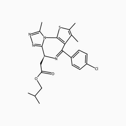 Cc1sc2c(c1C)C(c1ccc(Cl)cc1)=N[C@@H](CC(=O)OCC(C)C)c1nnc(C)n1-2